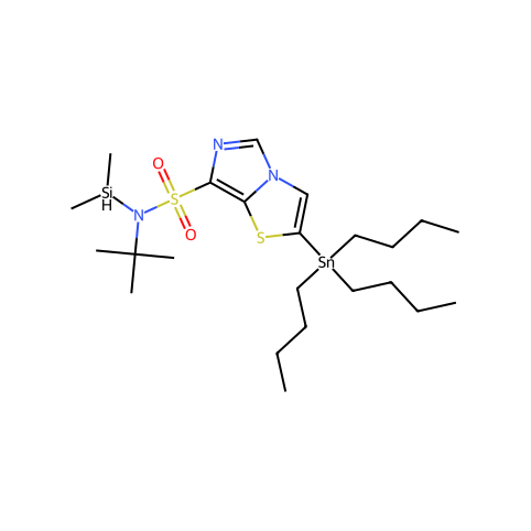 CCC[CH2][Sn]([CH2]CCC)([CH2]CCC)[c]1cn2cnc(S(=O)(=O)N([SiH](C)C)C(C)(C)C)c2s1